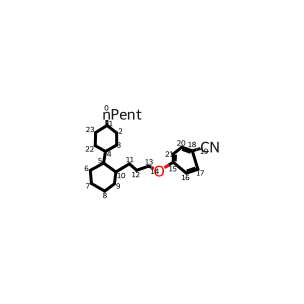 CCCCCC1CCC(C2CCCCC2CCCOc2ccc(C#N)cc2)CC1